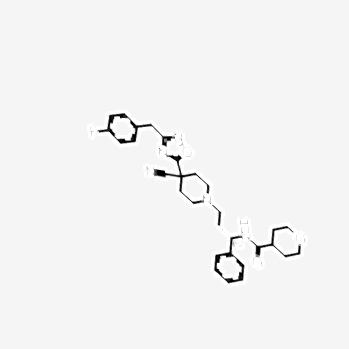 N#CC1(c2nc(Cc3ccc(F)cc3)no2)CCN(CC[C@H](NC(=O)C2CCOCC2)c2ccccc2)CC1